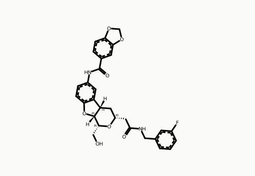 O=C(C[C@H]1C[C@H]2c3cc(NC(=O)c4ccc5c(c4)OCO5)ccc3O[C@H]2[C@@H](CO)O1)NCc1cccc(F)c1